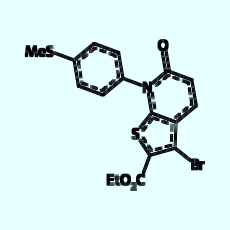 CCOC(=O)c1sc2c(ccc(=O)n2-c2ccc(SC)cc2)c1Br